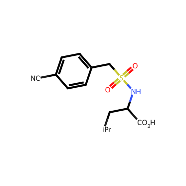 CC(C)CC(NS(=O)(=O)Cc1ccc(C#N)cc1)C(=O)O